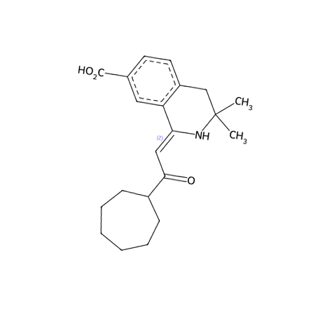 CC1(C)Cc2ccc(C(=O)O)cc2/C(=C/C(=O)C2CCCCCC2)N1